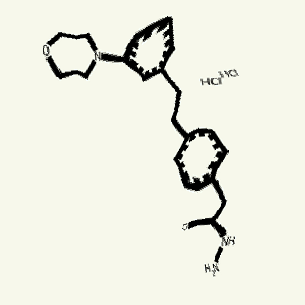 Cl.Cl.NNC(=O)Cc1ccc(CCc2cccc(N3CCOCC3)c2)cc1